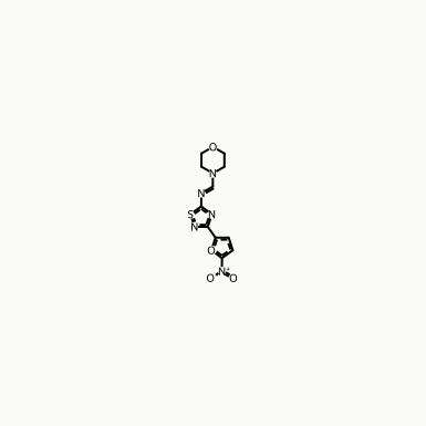 O=[N+]([O-])c1ccc(-c2nsc(N=CN3CCOCC3)n2)o1